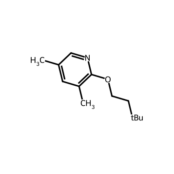 Cc1cnc(OCCC(C)(C)C)c(C)c1